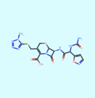 Cn1nnnc1SCC1=C(C(=O)O)N2C(=O)[C@H](NC(=O)C(NC(N)=O)c3ccno3)C2SC1